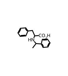 CC(NC(Cc1ccccc1)C(=O)O)c1ccccc1